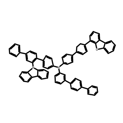 C1=C(c2ccc(N(c3ccc(-c4ccc(-c5ccccc5)cc4-n4c5ccccc5c5ccccc54)cc3)c3cccc(-c4ccc(-c5ccccc5)cc4)c3)cc2)CCC(c2cccc3c2oc2ccccc23)=C1